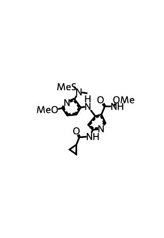 CONC(=O)c1cnc(NC(=O)C2CC2)cc1Nc1ccc(OC)nc1N(C)SC